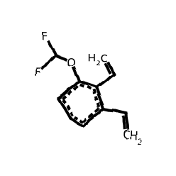 C=Cc1cccc(OC(F)F)c1C=C